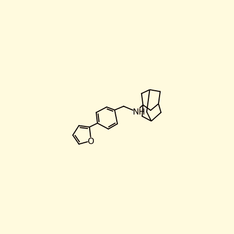 c1coc(-c2ccc(CNC34CC5CC(CC(C5)C3)C4)cc2)c1